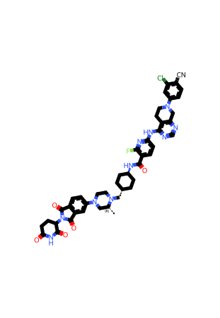 C[C@@H]1CN(c2ccc3c(c2)C(=O)N(C2CCC(=O)NC2=O)C3=O)CCN1C[C@H]1CC[C@H](NC(=O)c2ccc(Nc3ncnc4c3CCN(c3ccc(C#N)c(Cl)c3)C4)nc2F)CC1